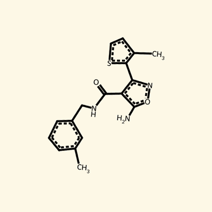 Cc1cccc(CNC(=O)c2c(-c3sccc3C)noc2N)c1